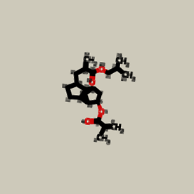 C=C(C)C(=O)O[C@@H]1CC2CC1C1CCC(CC(=C)C(=O)OCC(C)C)C21